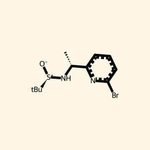 C[C@@H](N[S@+]([O-])C(C)(C)C)c1cccc(Br)n1